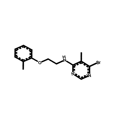 Cc1ccccc1OCCNc1ncnc(Br)c1C